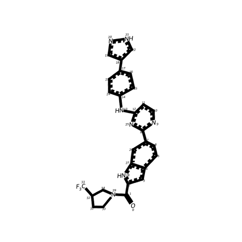 O=C(c1cc2ccc(-c3nccc(Nc4ccc(-c5cn[nH]c5)cc4)n3)cc2[nH]1)N1CCC(C(F)(F)F)C1